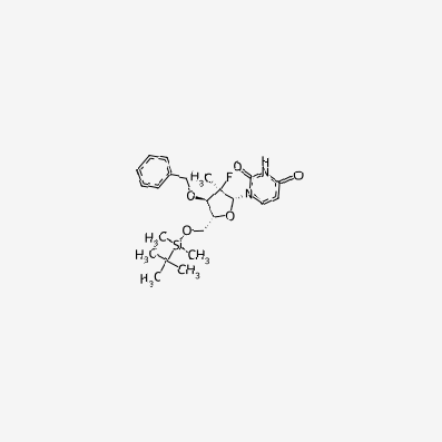 CC(C)(C)[Si](C)(C)OC[C@H]1O[C@@H](n2ccc(=O)[nH]c2=O)[C@](C)(F)[C@@H]1OCc1ccccc1